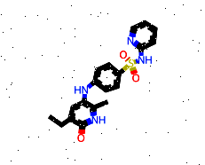 CCc1cc(Nc2ccc(S(=O)(=O)Nc3ccccn3)cc2)c(C)[nH]c1=O